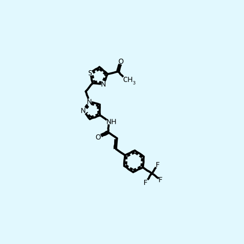 CC(=O)c1csc(Cn2cc(NC(=O)C=Cc3ccc(C(F)(F)F)cc3)cn2)n1